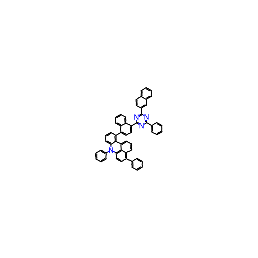 c1ccc(-c2nc(-c3ccc4ccccc4c3)nc(-c3ccc(-c4cccc5c4-c4cccc6c(-c7ccccc7)ccc(c46)N5c4ccccc4)c4ccccc34)n2)cc1